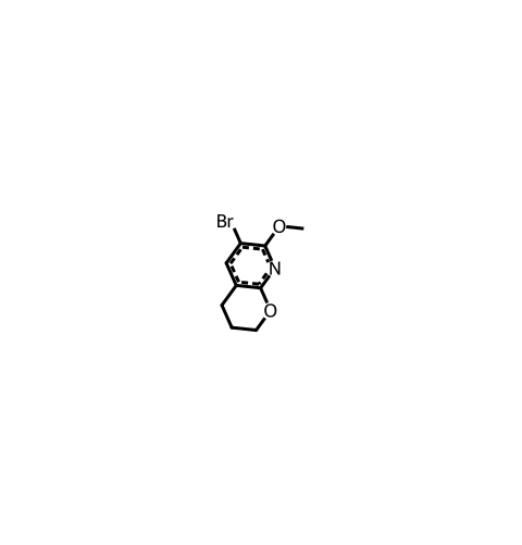 COc1nc2c(cc1Br)CCCO2